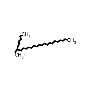 [CH2]CC(CCCCCC)CCCCCCCCCCCCCCCCCCC